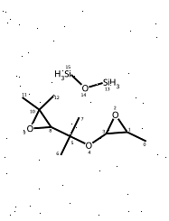 CC1OC1OC(C)(C)C1OC1(C)C.[SiH3]O[SiH3]